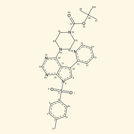 Cc1ccc(S(=O)(=O)n2cc(-c3ccccn3)c3c(N4CCN(C(=O)OC(C)(C)C)CC4)ncnc32)cc1